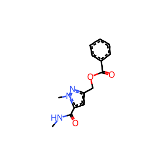 CNC(=O)c1cc(COC(=O)c2ccccc2)nn1C